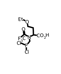 CCOCCC(C(=O)O)N(CP(Cl)Cl)C(=O)C(F)(F)F